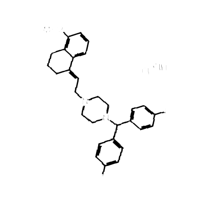 COc1cccc2c1CCCC2=CCN1CCN(C(c2ccc(F)cc2)c2ccc(F)cc2)CC1.Cl.Cl